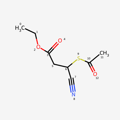 CCOC(=O)CC(C#N)SC(C)=O